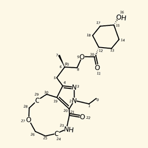 CCn1nc(C[C@@H](C)COC(=O)[C@H]2CC[C@@H](O)CC2)c2c1C(=O)NCCCOCCC2